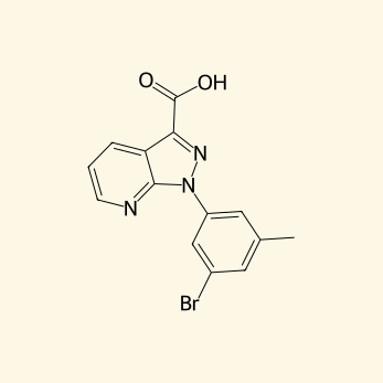 Cc1cc(Br)cc(-n2nc(C(=O)O)c3cccnc32)c1